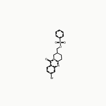 O=c1c2ccc(Br)cc2nc2n1CC(COS(=O)(=O)c1ccccc1)CC2